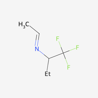 CC=NC(CC)C(F)(F)F